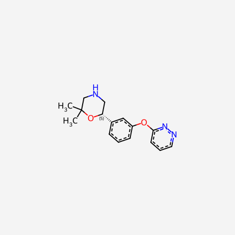 CC1(C)CNC[C@H](c2cccc(Oc3cccnn3)c2)O1